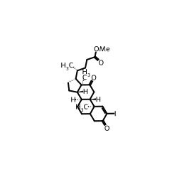 COC(=O)CC[C@@H](C)[C@H]1CC[C@H]2[C@@H]3CCC4CC(=O)C(I)=C[C@]4(C)[C@H]3CC(=O)[C@]12C